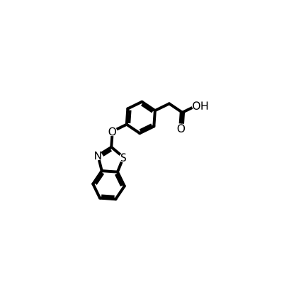 O=C(O)Cc1ccc(Oc2nc3ccccc3s2)cc1